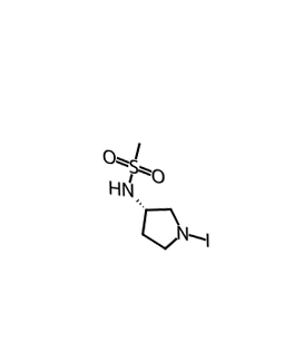 CS(=O)(=O)N[C@H]1CCN(I)C1